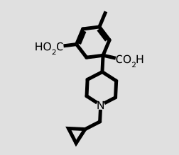 CC1=CC(C(=O)O)(C2CCN(CC3CC3)CC2)CC(C(=O)O)=C1